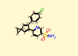 NS(=O)(=O)c1ccc(C2=CC3(C=C2c2ccc(Cl)cc2)CC3)nc1